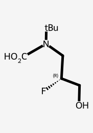 CC(C)(C)N(C[C@@H](F)CO)C(=O)O